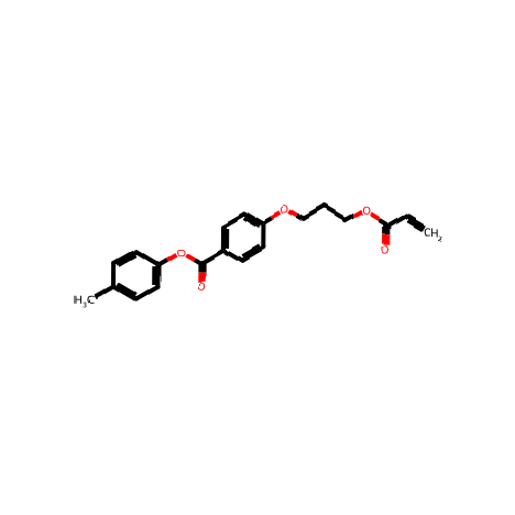 C=CC(=O)OCCCOc1ccc(C(=O)Oc2ccc(C)cc2)cc1